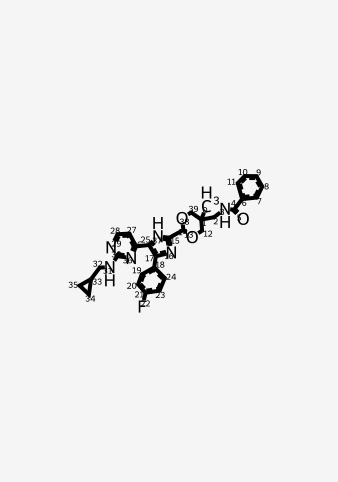 CC1(CNC(=O)c2ccccc2)COC(c2nc(-c3ccc(F)cc3)c(-c3ccnc(NCC4CC4)n3)[nH]2)OC1